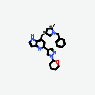 C[C@H]1C[C@@H](Cc2cc(-c3cnn(C4CCCCO4)c3)nc3cc[nH]c23)CN1Cc1ccccc1